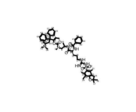 CC=C(OC(=O)N(C)CC(C)NC(=O)[C@H](CCCNC(=N)NS(=O)(=O)c1c(C)c(C)c2c(c1C)CC(C)(C)O2)NC(=O)c1ccccc1)C(CC(C)N(C)C)(c1ccccc1)c1ccccc1